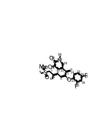 C=C(/C(=C\C=C(/C)CS(C)(=O)=O)Oc1ccc(F)cc1F)c1cc(OC)c(=O)n(C)c1